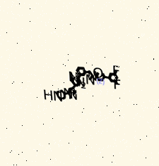 C=C(/C=C\C(=O)N(N)Cc1cccc(-c2ncc(-c3cnn(C4CCNCC4)c3)cn2)c1)c1cc(F)cc(F)c1